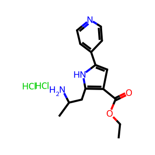 CCOC(=O)c1cc(-c2ccncc2)[nH]c1CC(C)N.Cl.Cl